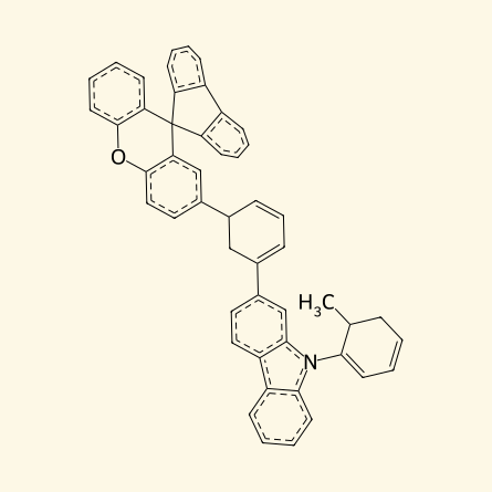 CC1CC=CC=C1n1c2ccccc2c2ccc(C3=CC=CC(c4ccc5c(c4)C4(c6ccccc6O5)c5ccccc5-c5ccccc54)C3)cc21